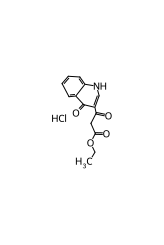 CCOC(=O)CC(=O)c1c[nH]c2ccccc2c1=O.Cl